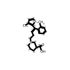 Cc1ccccc1/C(=C\CCN1CCCC(C(=O)O)C1)c1sccc1Cl